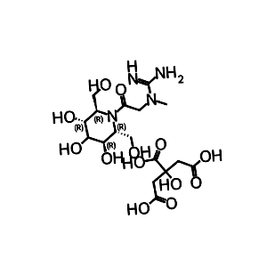 CN(CC(=O)N1[C@H](CO)[C@@H](O)C(O)[C@H](O)[C@H]1CO)C(=N)N.O=C(O)CC(O)(CC(=O)O)C(=O)O